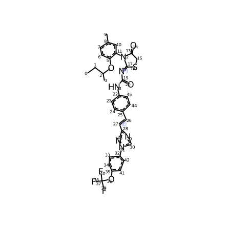 CCC(C)Oc1ccc(C)cc1N1C(=O)CS/C1=N\C(=O)Nc1ccc(/C=C/c2ncn(-c3ccc(OC(F)(F)F)cc3)n2)cc1